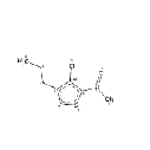 CCCc1csc(C(=O)O)c1Cl